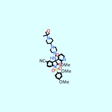 COc1ccc(S(=O)(=O)N2C(=O)C(NC(=O)N3CCN(C4CCN(C5(C)COC5)CC4)CC3)(c3cccnc3OC)c3cc(C#N)ccc32)c(OC)c1